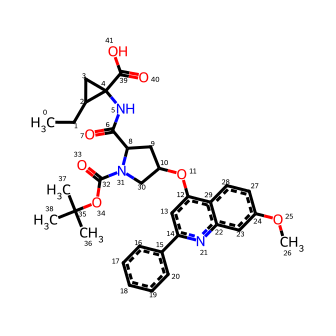 CCC1CC1(NC(=O)C1CC(Oc2cc(-c3ccccc3)nc3cc(OC)ccc23)CN1C(=O)OC(C)(C)C)C(=O)O